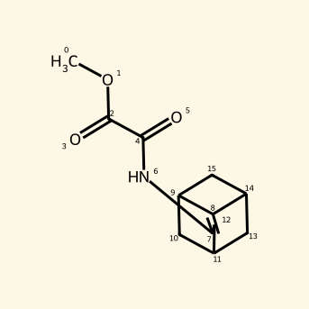 COC(=O)C(=O)NC1=C2C3CC(C1)CC2C3